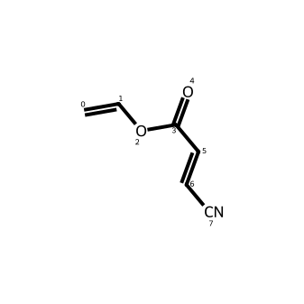 C=COC(=O)C=CC#N